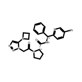 CC(C)c1ccc([C@@H](NC(=O)[C@@H]2CCCN2C(=O)Cn2nncc2N2CCC2)c2ccccc2)nc1